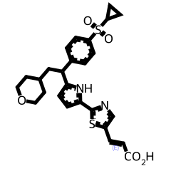 O=C(O)/C=C/c1cnc(-c2ccc(C(CC3CCOCC3)c3ccc(S(=O)(=O)C4CC4)cc3)[nH]2)s1